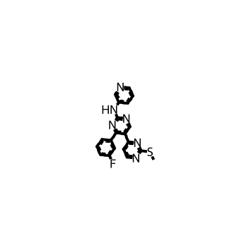 CSc1nccc(-c2cnc(Nc3cccnc3)nc2-c2cccc(F)c2)n1